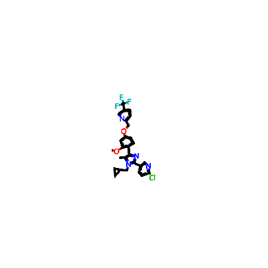 COc1cc(OCc2ccc(C(F)(F)F)cn2)ccc1-c1nc(-c2ccc(Cl)nc2)n(CC2CC2)c1C